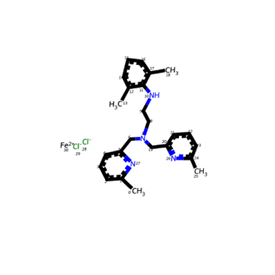 Cc1cccc(CN(CCNc2c(C)cccc2C)Cc2cccc(C)n2)n1.[Cl-].[Cl-].[Fe+2]